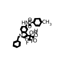 Cc1ccc(S(=O)(=O)Nc2ccc3c(c2)c(C(O)(C(=O)O)C(F)(F)F)cn3Cc2ccccc2)cc1